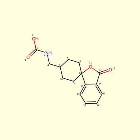 O=C(O)NCC1CCC2(CC1)OC(=O)c1ccccc12